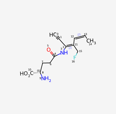 C#C/C(NC(=O)CC[C@H](N)C(=O)O)=C(\C=C/C)CF